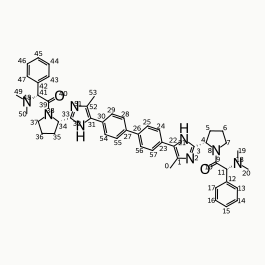 Cc1nc([C@@H]2CCCN2C(=O)[C@@H](c2ccccc2)N(C)C)[nH]c1-c1ccc(-c2ccc(-c3[nH]c([C@@H]4CCCN4C(=O)[C@@H](c4ccccc4)N(C)C)nc3C)cc2)cc1